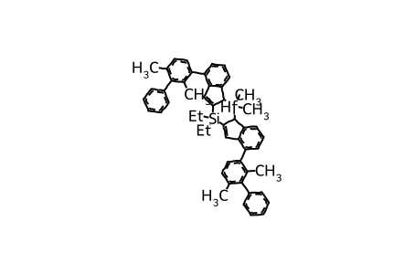 CC[Si]1(CC)C2=Cc3c(-c4ccc(C)c(-c5ccccc5)c4C)cccc3[CH]2[Hf]([CH3])([CH3])[CH]2C1=Cc1c(-c3ccc(C)c(-c4ccccc4)c3C)cccc12